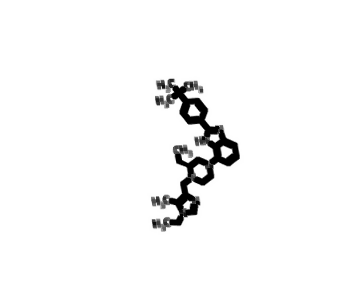 CC[C@H]1CN(c2cccc3nc(-c4ccc(C(C)(C)C)cc4)[nH]c23)CCN1Cc1ncn(CC)c1C